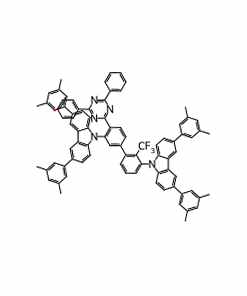 Cc1cc(C)cc(-c2ccc3c(c2)c2cc(-c4cc(C)cc(C)c4)ccc2n3-c2cc(-c3cccc(-n4c5ccc(-c6cc(C)cc(C)c6)cc5c5cc(-c6cc(C)cc(C)c6)ccc54)c3C(F)(F)F)ccc2-c2nc(-c3ccccc3)nc(-c3ccccc3)n2)c1